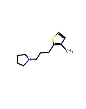 Cc1ccsc1CCCN1CCCC1